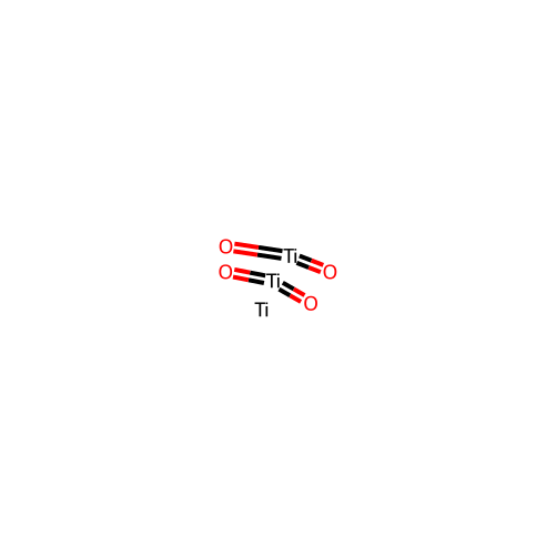 [O]=[Ti]=[O].[O]=[Ti]=[O].[Ti]